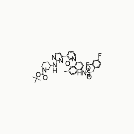 Cc1ccc2c(NS(=O)(=O)Cc3ccc(F)cc3F)cccc2c1Oc1ncccc1-c1ccnc(NC2CCCN(C(=O)OC(C)(C)C)C2)n1